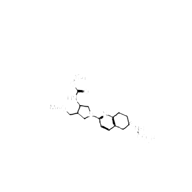 COCC1CN(c2ccc3c(n2)CC[C@H](NC(=O)O)C3)CC1NC(=O)OC(C)(C)C